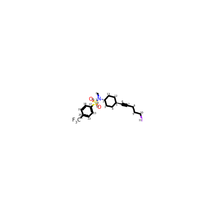 CN([C@H]1CC[C@H](C#CCCCI)CC1)S(=O)(=O)c1ccc(C(F)(F)F)cc1